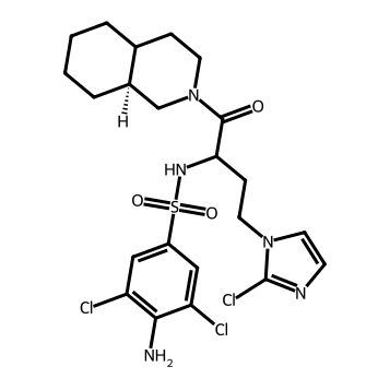 Nc1c(Cl)cc(S(=O)(=O)NC(CCn2ccnc2Cl)C(=O)N2CCC3CCCC[C@@H]3C2)cc1Cl